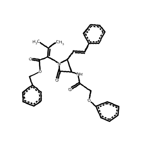 CC(C)=C(C(=O)OCc1ccccc1)N1C(=O)C(NC(=O)COc2ccccc2)C1/C=C/c1ccccc1